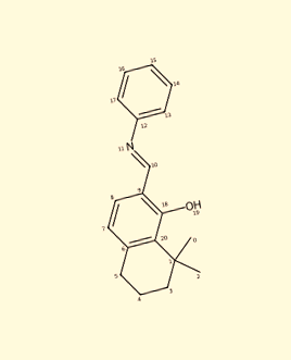 CC1(C)CCCc2ccc(/C=N/c3ccccc3)c(O)c21